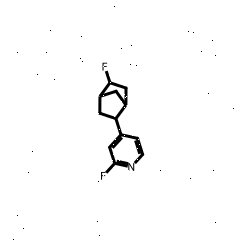 Fc1cc(C2CC3CC2CC3F)ccn1